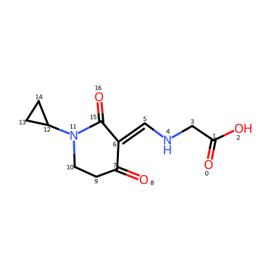 O=C(O)CNC=C1C(=O)CCN(C2CC2)C1=O